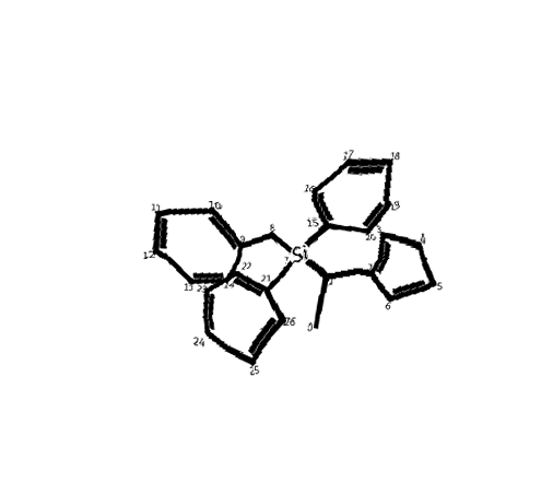 CC(C1=CCC=C1)[Si](Cc1ccccc1)(c1ccccc1)c1ccccc1